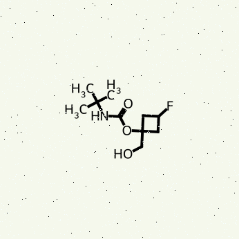 CC(C)(C)NC(=O)OC1(CO)CC(F)C1